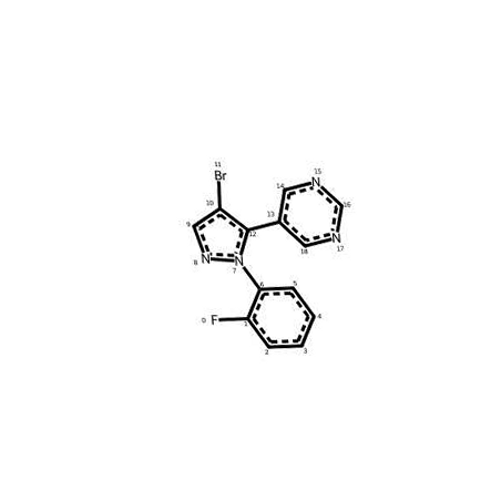 Fc1ccccc1-n1n[c]c(Br)c1-c1cncnc1